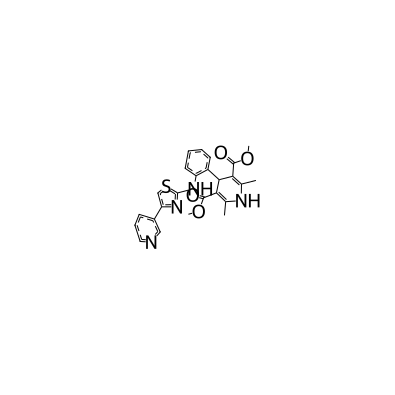 COC(=O)C1=C(C)NC(C)=C(C(=O)OC)C1c1ccccc1Nc1nc(-c2cccnc2)cs1